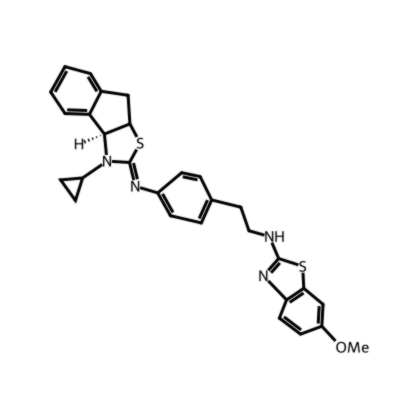 COc1ccc2nc(NCCc3ccc(/N=C4\SC5Cc6ccccc6[C@@H]5N4C4CC4)cc3)sc2c1